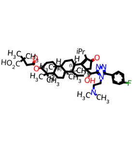 CC(C)C1=C2[C@H]3CC[C@@H]4[C@@]5(C)CC[C@H](OC(=O)CC(C)(C)C(=O)O)C(C)(C)[C@@H]5CC[C@@]4(C)[C@]3(C)CC[C@@]2([C@H](O)c2nnc(-c3ccc(F)cc3)n2CCN(C)C)CC1=O